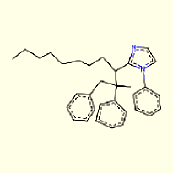 CCCCCCCCC(c1nccn1-c1ccccc1)C(C)(Cc1ccccc1)c1ccccc1